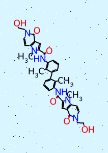 Cc1c(NC(=O)c2cc3c(=O)n(CCO)ccc3n2C)cccc1-c1cccc(NC(=O)c2cc3c(=O)n(CCO)ccc3n2C)c1C